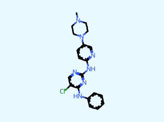 CN1CCN(c2ccc(Nc3ncc(Cl)c(Nc4ccccc4)n3)nc2)CC1